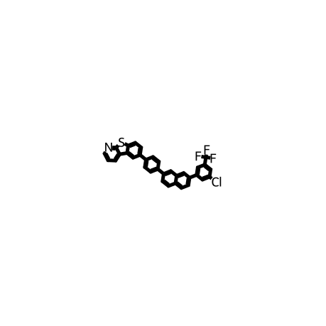 FC(F)(F)c1cc(Cl)cc(-c2ccc3ccc(-c4ccc(-c5ccc6sc7ncccc7c6c5)cc4)cc3c2)c1